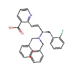 O=C(O)c1cccnc1C=C[C@@H](Cc1ccccc1F)N(Cc1ccccc1)Cc1ccccc1